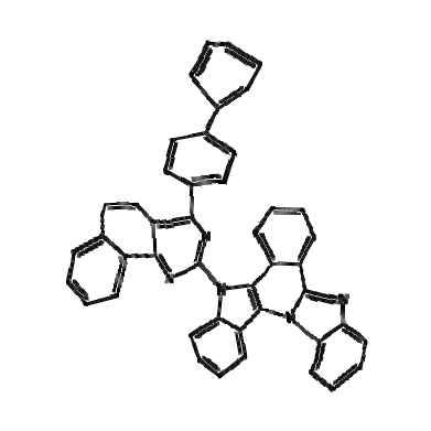 c1ccc(-c2ccc(-c3nc(-n4c5ccccc5c5c4c4ccccc4c4nc6ccccc6n45)nc4c3ccc3ccccc34)cc2)cc1